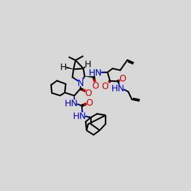 C=CCCC(NC(=O)[C@@H]1[C@@H]2[C@H](CN1C(=O)[C@@H](NC(=O)NC13CC4CC(CC(C4)C1)C3)C1CCCCC1)C2(C)C)C(=O)C(=O)NCC=C